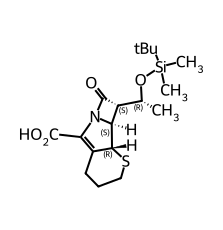 C[C@@H](O[Si](C)(C)C(C)(C)C)[C@H]1C(=O)N2C(C(=O)O)=C3CCCS[C@H]3[C@H]12